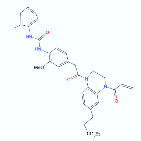 C=CC(=O)N1CCN(C(=O)Cc2ccc(NC(=O)Nc3ccccc3C)c(OC)c2)c2ccc(CCC(=O)OCC)cc21